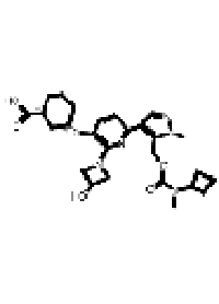 CN(C(=O)OCc1c(-c2ccc(O[C@H]3CCC[C@H](C(=O)O)C3)c(N3CC(O)C3)n2)cnn1C)C1CCC1